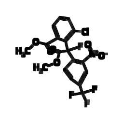 COC(=O)c1cccc(Cl)c1C(F)(C(=O)OC)c1ccc(C(F)(F)F)cc1[N+](=O)[O-]